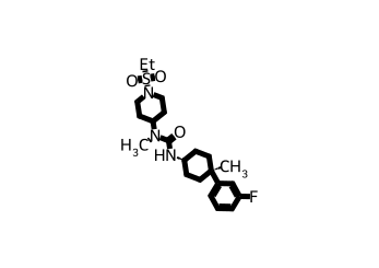 CCS(=O)(=O)N1CCC(N(C)C(=O)N[C@H]2CC[C@](C)(c3cccc(F)c3)CC2)CC1